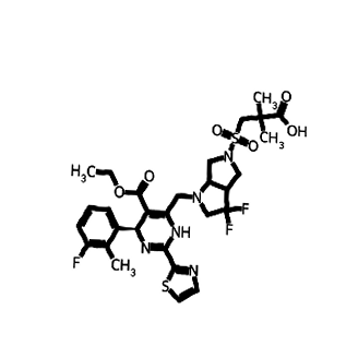 CCOC(=O)C1=C(CN2CC(F)(F)C3CN(S(=O)(=O)CC(C)(C)C(=O)O)CC32)NC(c2nccs2)=N[C@H]1c1cccc(F)c1C